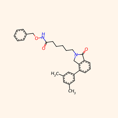 Cc1cc(C)cc(-c2cccc3c2CN(CCCCCC(=O)NOCc2ccccc2)C3=O)c1